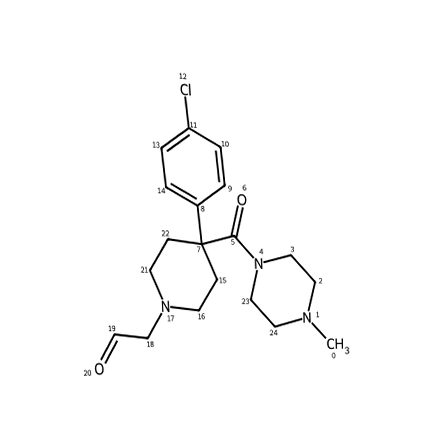 CN1CCN(C(=O)C2(c3ccc(Cl)cc3)CCN(CC=O)CC2)CC1